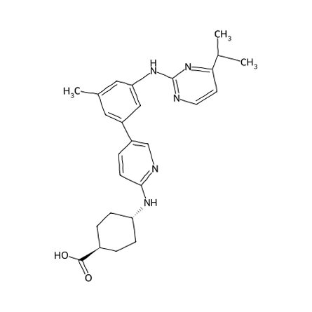 Cc1cc(Nc2nccc(C(C)C)n2)cc(-c2ccc(N[C@H]3CC[C@H](C(=O)O)CC3)nc2)c1